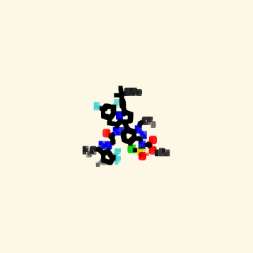 CCCCOC(=O)N(c1nn(CC(F)(F)F)c2c(-c3ccc(C#CC(C)(C)SC)nc3C(Cc3cc(F)cc(F)c3)NC(=O)Cn3nc(C(F)(F)F)c4c3C(F)(F)C[C@@H]4C)ccc(Cl)c12)[S+](C)[O-]